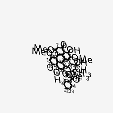 COc1c(O)c2c(=O)cc(OC)c3c4c(OC)cc(=O)c5c(O)c(OC)c(CC(C)OC(=O)c6ccccc6)c(c(c1CC(C)O)c23)c54